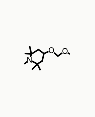 COCOC1CC(C)(C)N(C)C(C)(C)C1